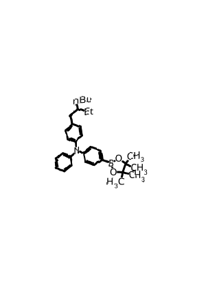 CCCCC(CC)Cc1ccc(N(c2ccccc2)c2ccc(B3OC(C)(C)C(C)(C)O3)cc2)cc1